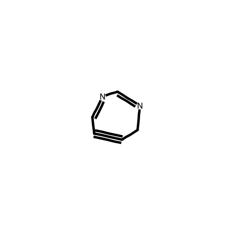 C1#CCN=CN=C1